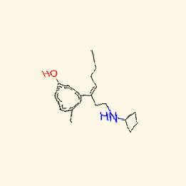 CCC/C=C(/CCNC1CCC1)c1cc(O)ccc1C